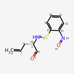 C=CC[C@@H](C=O)NSc1ccccc1N=O